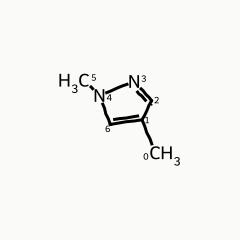 Cc1[c]nn(C)c1